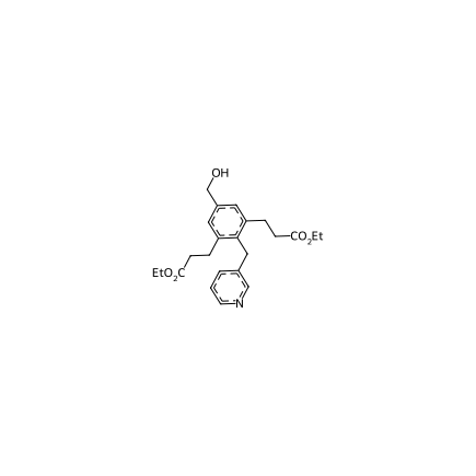 CCOC(=O)CCc1cc(CO)cc(CCC(=O)OCC)c1Cc1cccnc1